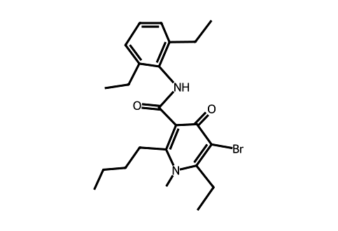 CCCCc1c(C(=O)Nc2c(CC)cccc2CC)c(=O)c(Br)c(CC)n1C